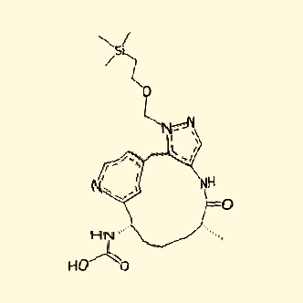 C[C@@H]1CCC[C@H](NC(=O)O)c2cc(ccn2)-c2c(cnn2COCC[Si](C)(C)C)NC1=O